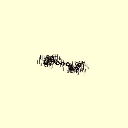 CN(C)C(=O)O[C@@](C)(C(=O)N[C@H](c1nc2ccc(-c3cnc(-c4ccc5nc([C@@H](NC(=O)[C@](C)(OC(=O)N(C)C)C(C)(C)C)C(C)(C)C)[nH]c5c4)nc3)cc2[nH]1)C(C)(C)C)C(C)(C)C